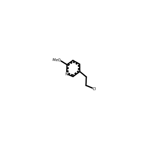 COc1ccc(CCCl)cn1